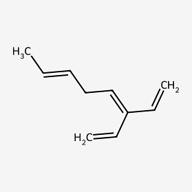 C=CC(C=C)=CCC=CC